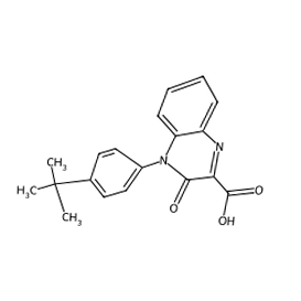 CC(C)(C)c1ccc(-n2c(=O)c(C(=O)O)nc3ccccc32)cc1